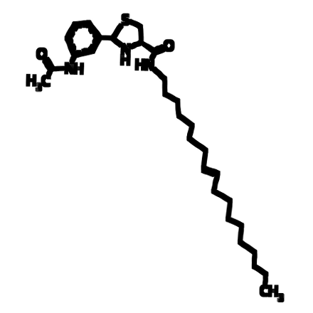 CCCCCCCCC/C=C/CCCCCCCNC(=O)[C@@H]1CSC(c2cccc(NC(C)=O)c2)N1